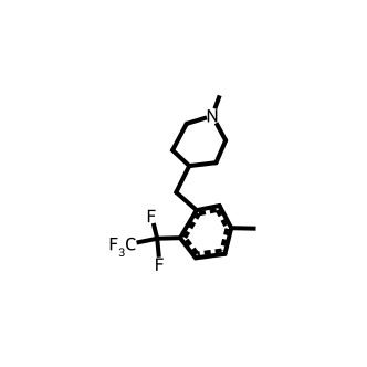 Cc1ccc(C(F)(F)C(F)(F)F)c(CC2CCN(C)CC2)c1